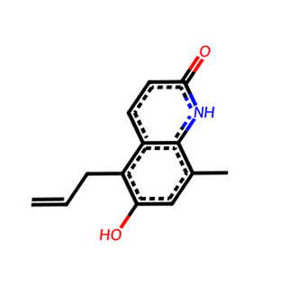 C=CCc1c(O)cc(C)c2[nH]c(=O)ccc12